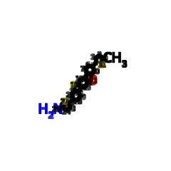 Cc1ccc(-c2ccc3c(c2)oc2cc4c(cc23)sc2cc(-c3ccc(N)s3)ccc24)s1